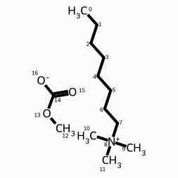 CCCCCCCC[N+](C)(C)C.COC(=O)[O-]